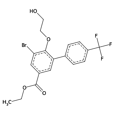 CCOC(=O)c1cc(Br)c(OCCO)c(-c2ccc(C(F)(F)F)cc2)c1